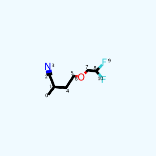 CC(C#N)CCOCC(F)F